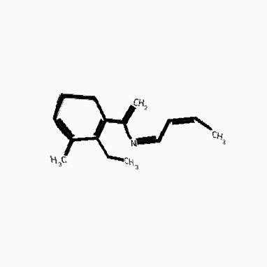 C=C(/N=C\C=C/C)C1=C(CC)C(C)=CCC1